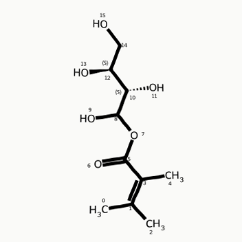 CC(C)=C(C)C(=O)OC(O)[C@@H](O)[C@@H](O)CO